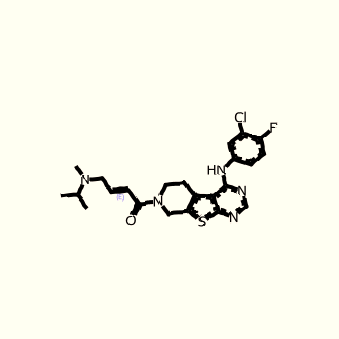 CC(C)N(C)C/C=C/C(=O)N1CCc2c(sc3ncnc(Nc4ccc(F)c(Cl)c4)c23)C1